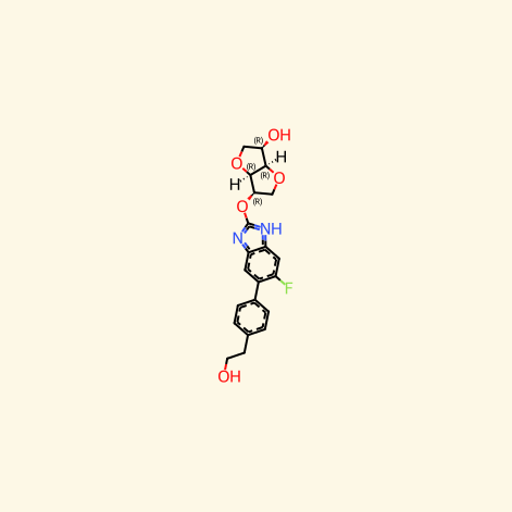 OCCc1ccc(-c2cc3nc(O[C@@H]4CO[C@H]5[C@@H]4OC[C@H]5O)[nH]c3cc2F)cc1